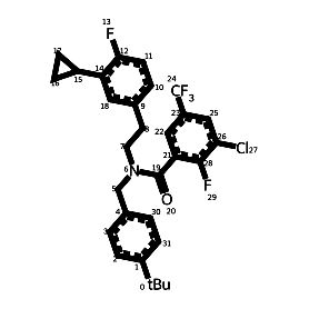 CC(C)(C)c1ccc(CN(CCc2ccc(F)c(C3CC3)c2)C(=O)c2cc(C(F)(F)F)cc(Cl)c2F)cc1